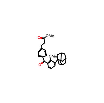 COC(=O)CCc1ccc(C(=O)c2cccc(C34CC5CC(CC(C5)C3)C4)c2OC)cc1